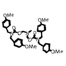 COc1ccc(CN(Cc2ccc(OC)cc2)C(=O)OCN(C)COC(=O)N(Cc2ccc(OC)cc2)Cc2ccc(OC)cc2)cc1